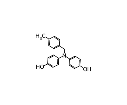 Cc1ccc(CN(c2ccc(O)cc2)c2ccc(O)cc2)cc1